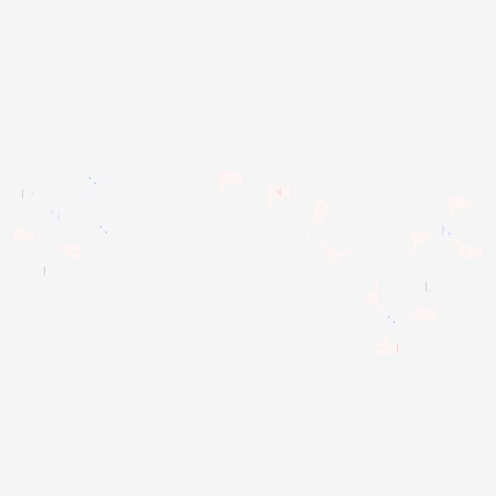 CCC(ON(O)O)C(COC(=O)CC(O)CC(O)/C=C/c1c(-c2ccc(F)cc2)nc(N(C)S(C)(=O)=O)nc1C(C)C)ON(O)O